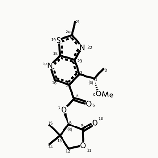 CO[C@@H](C)c1c(C(=O)O[C@H]2C(=O)OCC2(C)C)cnc2sc(C)nc12